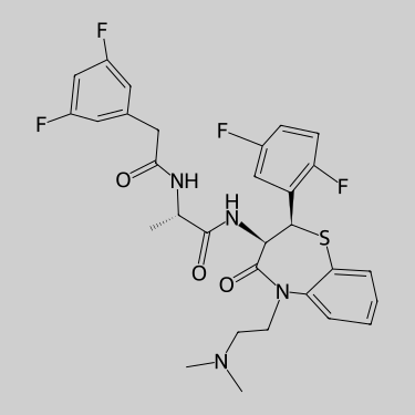 C[C@H](NC(=O)Cc1cc(F)cc(F)c1)C(=O)N[C@@H]1C(=O)N(CCN(C)C)c2ccccc2S[C@@H]1c1cc(F)ccc1F